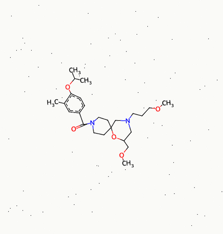 COCCCN1CC(COC)OC2(CCN(C(=O)c3ccc(OC(C)C)c(C)c3)CC2)C1